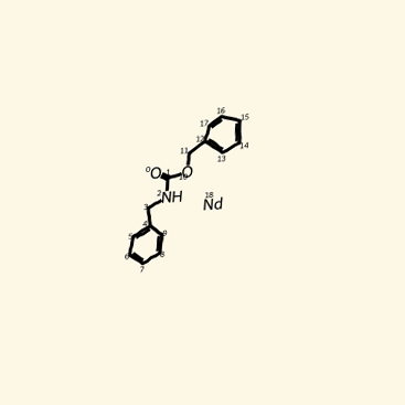 O=C(NCc1ccccc1)OCc1ccccc1.[Nd]